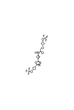 O=C(CO[C@H]1C[C@H](OC(F)(F)F)C1)NC12CC(c3nnc(C4CC(OC(F)(F)F)C4)o3)(C1)C2